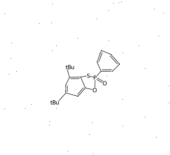 CC(C)(C)c1cc2c(c(C(C)(C)C)c1)SP(=O)(c1ccccc1)O2